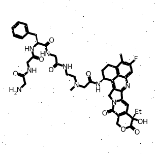 CC[C@@]1(O)C(=O)OCc2c1cc1n(c2=O)Cc2c-1nc1cc(F)c(C)c3c1c2[C@@H](NC(=O)CN(C)CCNC(=O)CNC(=O)[C@H](Cc1ccccc1)NC(=O)CNC(=O)CN)CC3